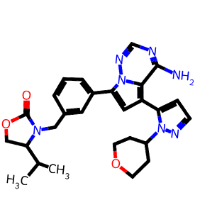 CC(C)C1COC(=O)N1Cc1cccc(-c2cc(-c3ccnn3C3CCOCC3)c3c(N)ncnn23)c1